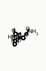 COc1cc(Nc2nc3ccccc3nc2NS(=O)(=O)c2cccc(N3CC(C(N)=O)C3)c2)cc(OC)c1